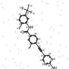 Cc1cc(C(=O)Nc2cc(C(F)(F)F)ccc2F)ccc1C#Cc1cnc(N)nc1